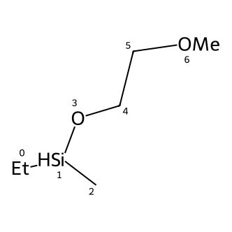 CC[SiH](C)OCCOC